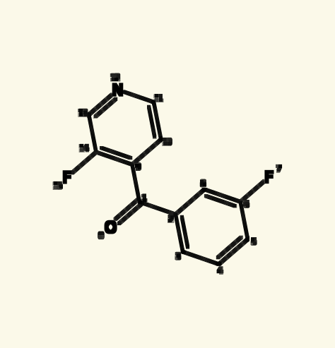 O=C(c1cccc(F)c1)c1ccncc1F